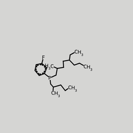 CCCC(C)CP(CC(C)CCC(CC)CCC)c1cccc(F)c1